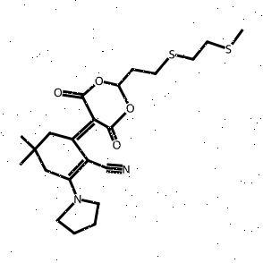 CSCCSCCC1OC(=O)C(=C2CC(C)(C)CC(N3CCCC3)=C2C#N)C(=O)O1